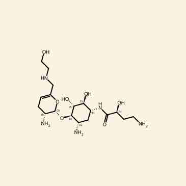 NCC[C@H](O)C(=O)N[C@@H]1C[C@H](N)[C@@H](O[C@H]2OC(CNCCO)=CC[C@H]2N)[C@H](O)[C@H]1O